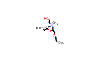 CCCCCCCCCCCCOCC(C[N+](C)(C)CCO)OCCCCCCCCCCCC